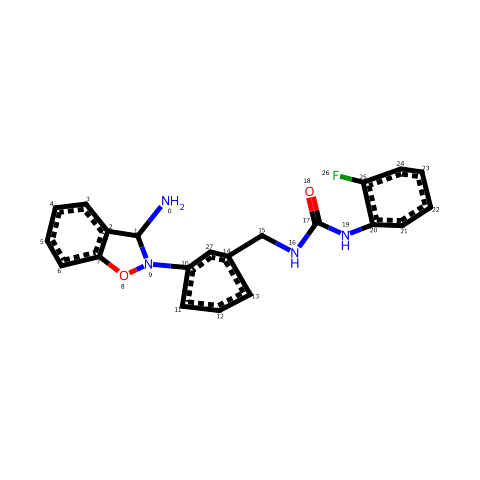 NC1c2ccccc2ON1c1cccc(CNC(=O)Nc2ccccc2F)c1